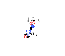 CC(NCCNC(=O)OC(C)(C)C)N1CCOCC1